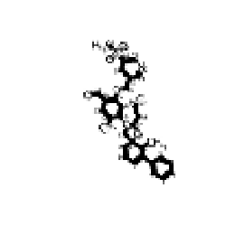 CC1C(c2ccccc2)=CC=CC1(COc1cc(OCc2cncc(S(C)(=O)=O)c2)c(C=O)cc1Cl)OCCCCl